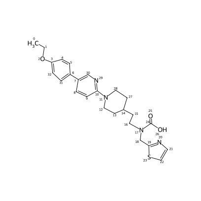 CCOc1ccc(-c2ccc(N3CCC(CCN(Cc4nccs4)C(=O)O)CC3)nc2)cc1